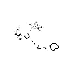 CC(C)(CNC(=O)OC1CC/C=C/CCC1)SSCO[C@@H]1C[C@H](n2cnc3c(=O)[nH]c(N)nc32)O[C@@H]1COP(=O)(O)OP(=O)(O)OP(=O)(O)O